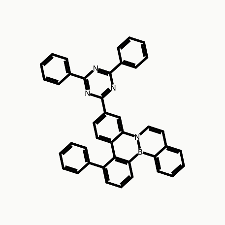 C1=CN2B(c3ccccc31)c1cccc(-c3ccccc3)c1-c1ccc(-c3nc(-c4ccccc4)nc(-c4ccccc4)n3)cc12